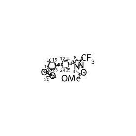 COC(=O)Cn1nc(C(F)(F)F)cc1-c1ccc(-c2cccc(S(C)(=O)=O)c2)cc1